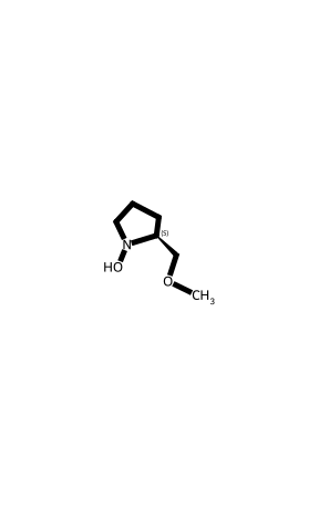 COC[C@@H]1CCCN1O